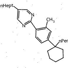 CCCCCCCc1cnc(-c2ccc(C3(CCCCC)CCCCC3)cc2C)nc1